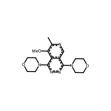 COc1c(C)ncc2c(N3CCOCC3)nnc(N3CCOCC3)c12